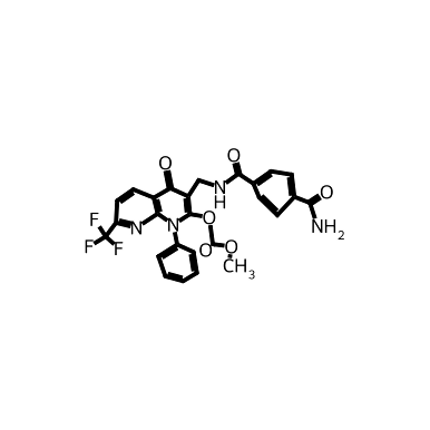 COC(=O)Oc1c(CNC(=O)c2ccc(C(N)=O)cc2)c(=O)c2ccc(C(F)(F)F)nc2n1-c1ccccc1